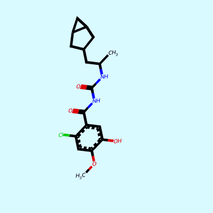 COc1cc(Cl)c(C(=O)NC(=O)NC(C)CC2CC3CC3C2)cc1O